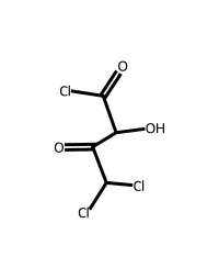 O=C(Cl)C(O)C(=O)C(Cl)Cl